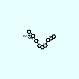 CC1(C)c2ccccc2-c2ccc(-c3ccc(-c4ccc5ccc6ccc(-c7ccc8nc9ccccc9cc8c7)nc6c5n4)cc3)cc21